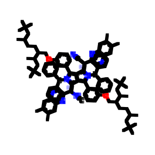 [C-]#[N+]/C(c1cnc2cc(C)c(C)cc2n1)=c1\c2c(-c3cccc(OCC(CCC(C)CC(C)(C)C)C(C)CC(C)(C)C)c3)n(B(c3ccccc3)c3ccccc3)/c(=C(/C#N)c3cnc4cc(C)c(C)cc4n3)c2c(-c2cccc(OCC(CCC(C)CC(C)(C)C)C(C)CC(C)(C)C)c2)n1B(c1ccccc1)c1ccccc1